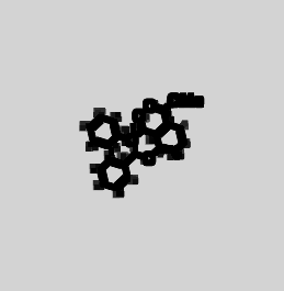 COC(=O)c1ccnc(OCc2ccccc2)c1C(=O)Oc1ccccc1